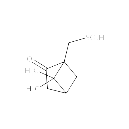 CC1(C)C2CC(=O)C1(CS(=O)(=O)O)C2